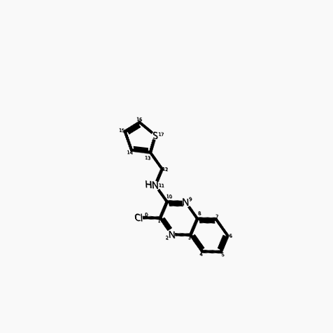 Clc1nc2ccccc2nc1NCc1cccs1